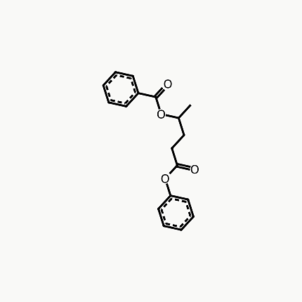 CC(CCC(=O)Oc1ccccc1)OC(=O)c1ccccc1